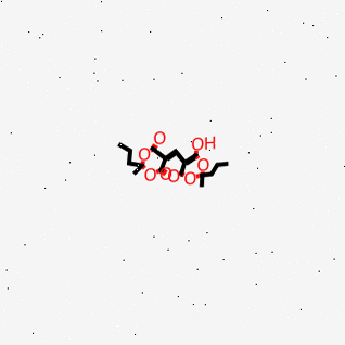 CCCC1(C)OC(=O)C(=CC2=C(O)OC(C)(CCC)OC2=O)C(=O)O1